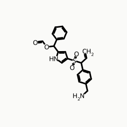 C=CC(c1ccc(CN)cc1)S(=O)(=O)c1c[nH]c(C(OC=O)c2ccccc2)c1